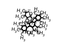 Cc1c(C)c(C)c2c([nH]c3c2c2c(c4c5c(C)c(C)c(C)c(C)c5n(C5OCC(C)C(C)C5C)c34)C(C)N(C)C2C)c1C